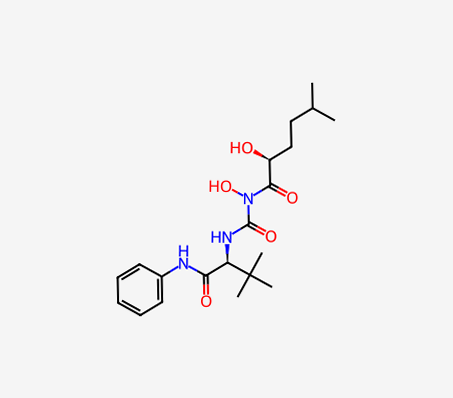 CC(C)CC[C@H](O)C(=O)N(O)C(=O)N[C@H](C(=O)Nc1ccccc1)C(C)(C)C